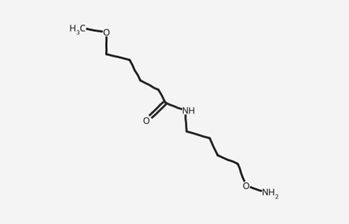 COCCCCC(=O)NCCCCON